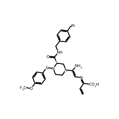 C=C/C(=N\C=C(/N)N1CCN(Sc2ccc(OC(F)(F)F)cc2)[C@@H](C(=O)NCc2ccc(C(C)C)cc2)C1)C(=O)O